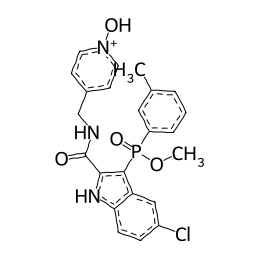 COP(=O)(c1cccc(C)c1)c1c(C(=O)NCc2cc[n+](O)cc2)[nH]c2ccc(Cl)cc12